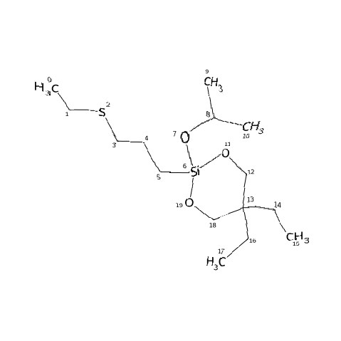 CCSCCC[Si]1(OC(C)C)OCC(CC)(CC)CO1